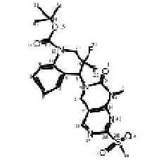 CN1C(=O)N(C2c3ccccc3N(C(=O)OC(C)(C)C)CC2(F)F)Cc2cnc(S(C)(=O)=O)nc21